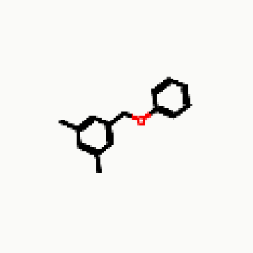 Cc1cc(C)cc(COc2c[c]ccc2)c1